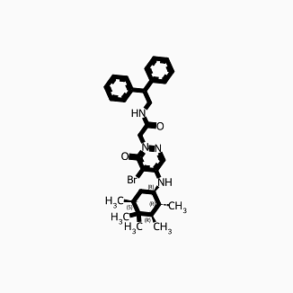 C[C@@H]1[C@@H](C)C(C)(C)[C@@H](C)C[C@H]1Nc1cnn(CC(=O)NCC(c2ccccc2)c2ccccc2)c(=O)c1Br